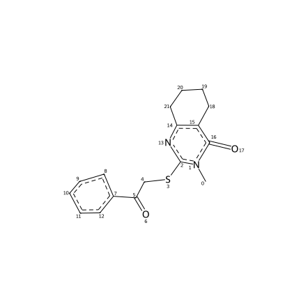 Cn1c(SCC(=O)c2ccccc2)nc2c(c1=O)CCCC2